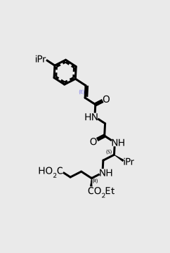 CCOC(=O)[C@@H](CCC(=O)O)NC[C@@H](NC(=O)CNC(=O)/C=C/c1ccc(C(C)C)cc1)C(C)C